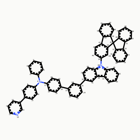 c1ccc(N(c2ccc(-c3cccnc3)cc2)c2ccc(-c3cccc(-c4ccc5c(c4)c4ccccc4n5-c4ccc5c(c4)C4(c6ccccc6-c6ccccc64)c4ccccc4-5)c3)cc2)cc1